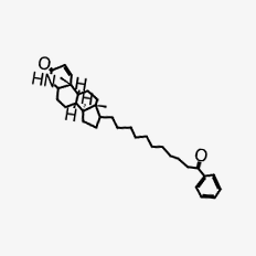 C[C@]12C=CC(=O)NC1CC[C@@H]1[C@H]2CC[C@]2(C)C(CCCCCCCCCCC(=O)c3ccccc3)CC[C@@H]12